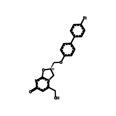 CCc1ccc(-c2ccc(OC[C@@H]3Cn4c(CO)cc(=O)nc4O3)cc2)cc1